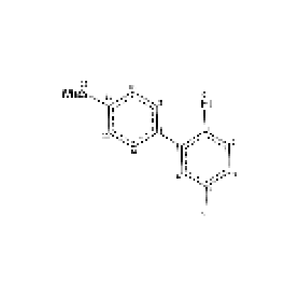 CCc1ccc(C)cc1-c1ccc(SC)cc1